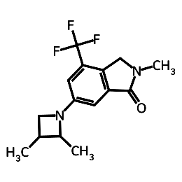 CC1CN(c2cc3c(c(C(F)(F)F)c2)CN(C)C3=O)C1C